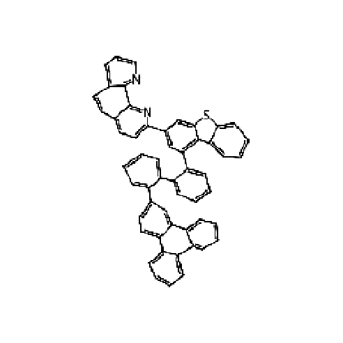 c1ccc(-c2ccccc2-c2cc(-c3ccc4ccc5cccnc5c4n3)cc3sc4ccccc4c23)c(-c2ccc3c4ccccc4c4ccccc4c3c2)c1